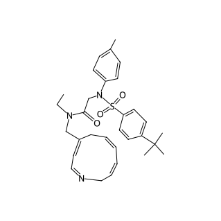 CCN(C/C1=C/C=N\C/C=C\C=C/C1)C(=O)CN(c1ccc(C)cc1)S(=O)(=O)c1ccc(C(C)(C)C)cc1